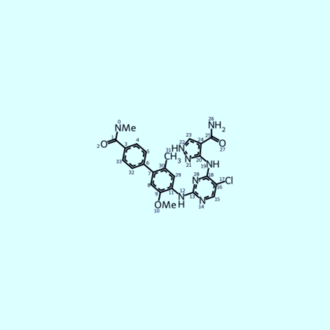 CNC(=O)c1ccc(-c2cc(OC)c(Nc3ncc(Cl)c(Nc4n[nH]cc4C(N)=O)n3)cc2C)cc1